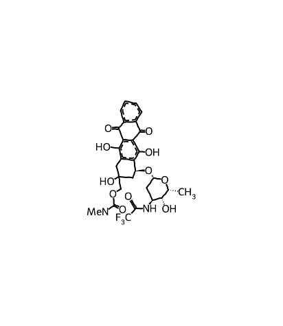 CNC(=O)OCC1(O)Cc2c(O)c3c(c(O)c2[C@@H](O[C@H]2C[C@H](NC(=O)C(F)(F)F)[C@@H](O)[C@@H](C)O2)C1)C(=O)c1ccccc1C3=O